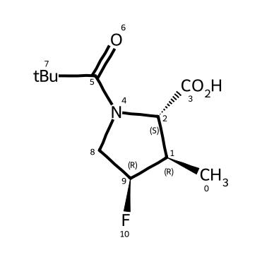 C[C@@H]1[C@@H](C(=O)O)N(C(=O)C(C)(C)C)C[C@@H]1F